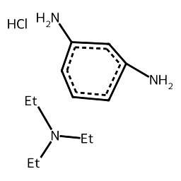 CCN(CC)CC.Cl.Nc1cccc(N)c1